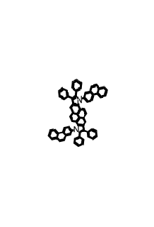 c1ccc(-c2c(-c3ccccc3)n(-c3ccc4c(ccc5ccccc54)c3)c3c2cc2ccc4c5c(ccc3c25)cc2c(-c3ccccc3)c(-c3ccccc3)n(-c3ccc5c(ccc6ccccc65)c3)c24)cc1